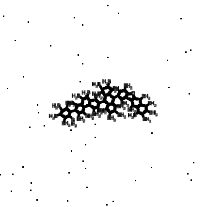 Bc1c(B)c(B)c(-c2c(B)c(B)c3c(c2B)c(B)c(B)c2c(B)c(-c4c5c(B)c(B)c(B)c(B)c5c(-c5c(B)c(B)c6oc7c(B)c8c(B)c(B)c(B)c(B)c8c(B)c7c6c5B)c5c(B)c(B)c(B)c(B)c45)c(B)c(B)c23)c(B)c1B